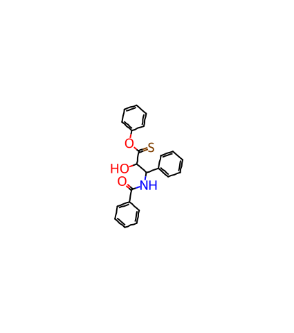 O=C(NC(c1ccccc1)C(O)C(=S)Oc1ccccc1)c1ccccc1